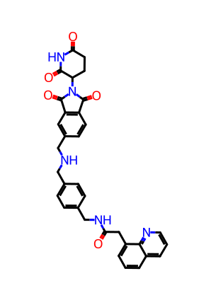 O=C(Cc1cccc2cccnc12)NCc1ccc(CNCc2ccc3c(c2)C(=O)N(C2CCC(=O)NC2=O)C3=O)cc1